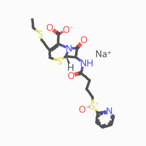 CCSCC1=C(C(=O)[O-])N2C(=O)C(NC(=O)CCC[S+]([O-])c3ccccn3)[C@@H]2SC1.[Na+]